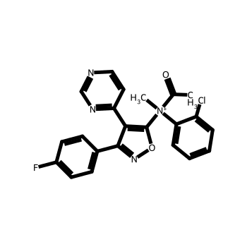 CC(=O)[N+](C)(c1ccccc1Cl)c1onc(-c2ccc(F)cc2)c1-c1ccncn1